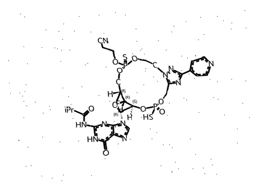 CC(C)C(=O)Nc1nc2c(ncn2[C@@H]2O[C@@H]3COP(=S)(OCCC#N)OCCn4nc(-c5ccncc5)nc4COP(=O)(S)O[C@@H]2[C@@H]3F)c(=O)[nH]1